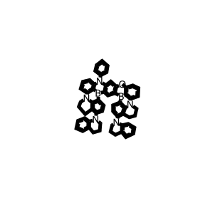 c1ccc(N2c3cc4c(cc3B3c5ccc(N6CCCc7ccccc76)c6c5N(CCC6)c5cccc2c53)B2c3ccc(N5CCCc6ccccc65)c5c3N(CCC5)c3cccc(c32)O4)cc1